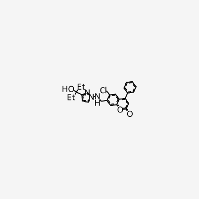 CCC(O)(CC)c1ccn(NCc2cc3oc(=O)cc(-c4ccccc4)c3cc2Cl)n1